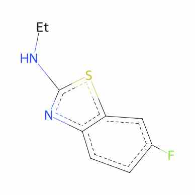 CCNc1nc2ccc(F)cc2s1